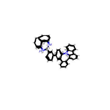 c1cc(B2Nc3cccc4cccc(c34)N2)cc(-c2ccc3c(c2)-c2ccccc2-c2cccc4c5ccccc5n-3c24)c1